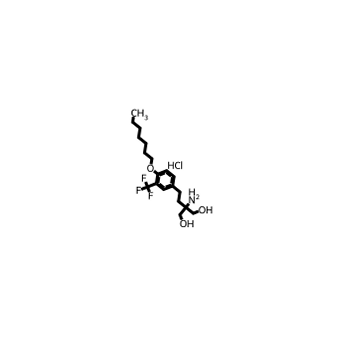 CCCCCCCOc1ccc(CCC(N)(CO)CO)cc1C(F)(F)F.Cl